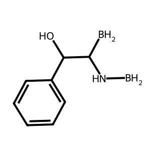 BNC(B)C(O)c1ccccc1